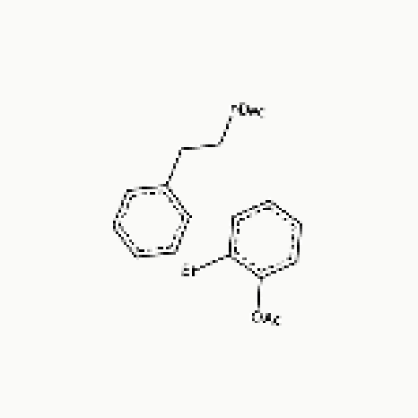 CCCCCCCCCCCCc1ccccc1.CCc1ccccc1OC(C)=O